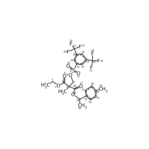 CCOC(=O)C(C)(COS(=O)(=O)c1cc(C(F)(F)F)cc(C(F)(F)F)c1)C(=O)OC(C)c1ccc(C)cc1